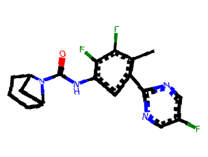 Cc1c(-c2ncc(F)cn2)cc(NC(=O)N2C3CCCC2C3)c(F)c1F